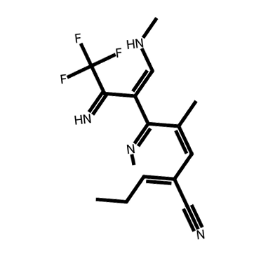 CC/C=C(C#N)/C=C(C)\C(=N/C)C(=C\NC)\C(=N)C(F)(F)F